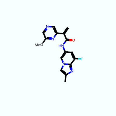 C=C(C(=O)Nc1cc(F)c2nc(C)cn2c1)c1cncc(OC)n1